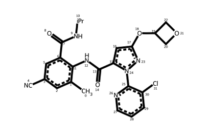 Cc1cc(C#N)cc(C(=O)NC(C)C)c1NC(=O)c1cc(OC2COC2)nn1-c1ncccc1Cl